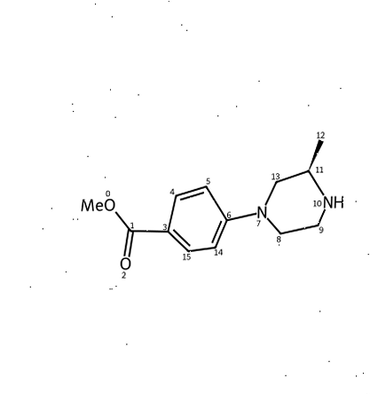 COC(=O)c1ccc(N2CCN[C@H](C)C2)cc1